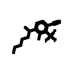 CCCCCC(C)c1ccc(C#N)c(C(F)(F)F)c1C